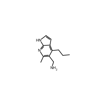 CCCc1c(CN)c(C)nc2[nH]ccc12